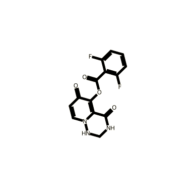 O=C(Oc1c2n(ccc1=O)NCNC2=O)c1c(F)cccc1F